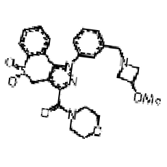 COC1CN(Cc2cccc(-n3nc(C(=O)N4CCOCC4)c4c3-c3ccccc3S(=O)(=O)C4)c2)C1